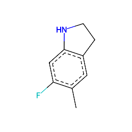 Cc1cc2c(cc1F)NCC2